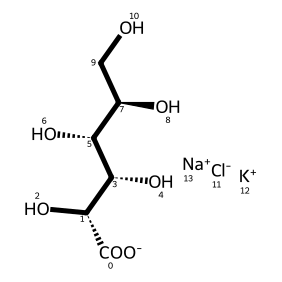 O=C([O-])[C@H](O)[C@@H](O)[C@H](O)[C@H](O)CO.[Cl-].[K+].[Na+]